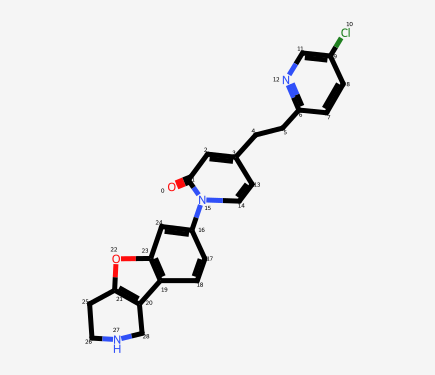 O=c1cc(CCc2ccc(Cl)cn2)ccn1-c1ccc2c3c(oc2c1)CCNC3